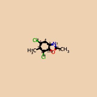 Cc1nc2cc(Cl)c(C)c(Cl)c2o1